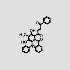 Cc1c(O)c(C(=O)C=CC(=O)c2ccccc2)c(C(=O)c2ccccc2)c(C(=O)c2ccccc2)c1O